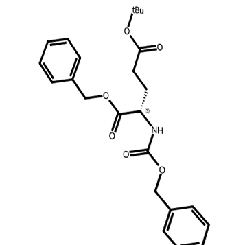 CC(C)(C)OC(=O)CC[C@H](NC(=O)OCc1ccccc1)C(=O)OCc1ccccc1